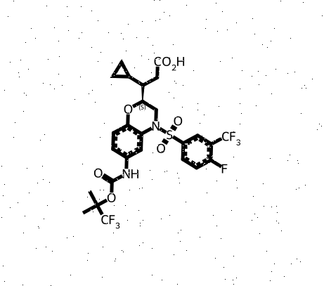 CC(C)(OC(=O)Nc1ccc2c(c1)N(S(=O)(=O)c1ccc(F)c(C(F)(F)F)c1)C[C@H](C(CC(=O)O)C1CC1)O2)C(F)(F)F